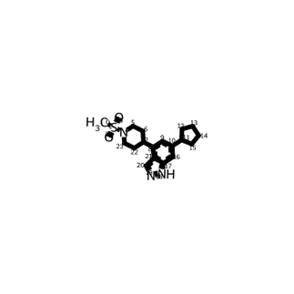 CS(=O)(=O)N1CCC(c2cc(C3CCCC3)cc3[nH]ncc23)CC1